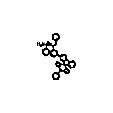 NC1(c2ccccc2)CN1C(Cc1ccccc1)c1cccc(-c2ccc3c(c2)C2(c4ccccc4-3)c3ccccc3N(c3ccccc3)c3ccccc32)c1